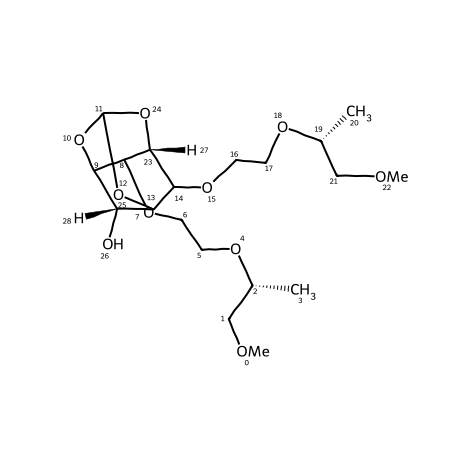 COC[C@@H](C)OCCOC1C2OC3OC(C(OCCO[C@H](C)COC)[C@H]1O3)[C@@H]2O